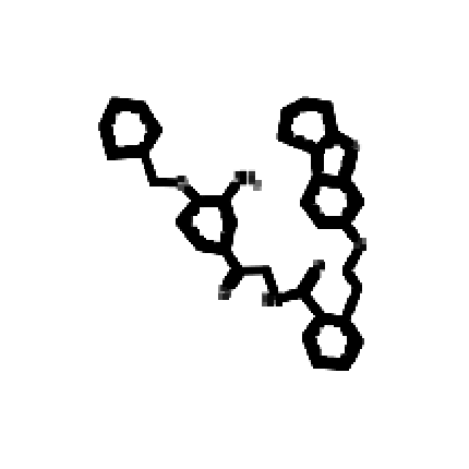 Nc1cc(C(=O)CNC(=O)c2ccccc2CCOc2ccc3c(c2)sc2ccccc23)ccc1OCc1ccccc1